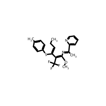 CC/C=C(Sc1ccc(C)cc1)/C(=C(\N=C(/C)c1ccccn1)OC)C(F)(F)F